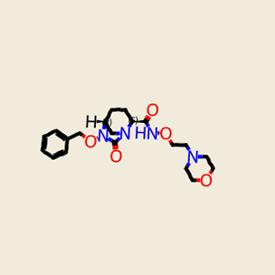 O=C(NOCCN1CCOCC1)[C@@H]1CC[C@@H]2CN1C(=O)N2OCc1ccccc1